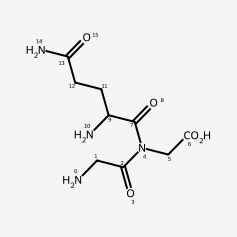 NCC(=O)N(CC(=O)O)C(=O)C(N)CCC(N)=O